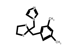 Cc1cc(C)cc(CC2(Cn3ccnc3)SCCS2)c1